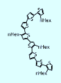 CCCCCCc1ccsc1-c1ccc(-c2ccc(-c3sc(-c4cc(CCCCCC)c(-c5ccc(-c6ccc(-c7sccc7CCCCCC)s6)s5)s4)cc3CCCCCC)s2)s1